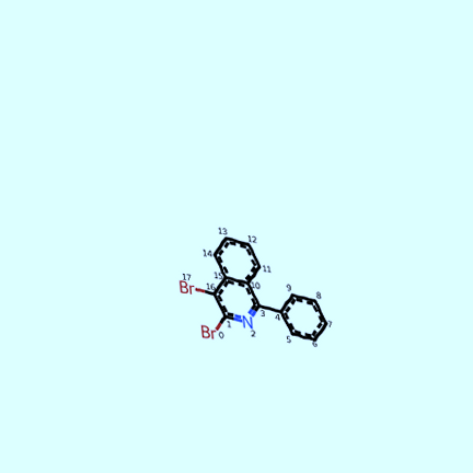 Brc1nc(-c2ccccc2)c2ccccc2c1Br